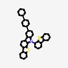 c1ccc(-c2ccc(-c3ccc4c(c3)c3ccc5c6ccccc6sc5c3n4-c3cccc4c3sc3ccccc34)cc2)cc1